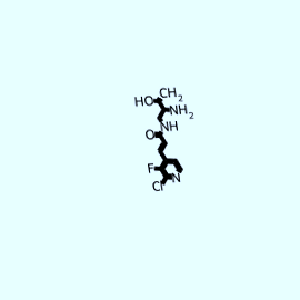 C=C(O)C(N)CNC(=O)/C=C/c1ccnc(Cl)c1F